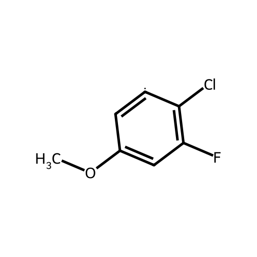 COc1c[c]c(Cl)c(F)c1